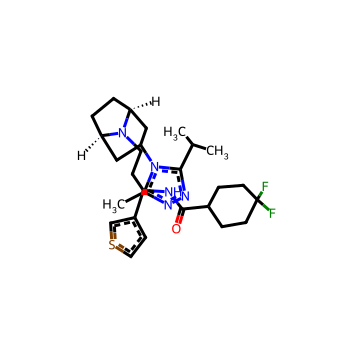 Cc1nnc(C(C)C)n1C1C[C@H]2CC[C@@H](C1)N2CCC(NC(=O)C1CCC(F)(F)CC1)c1ccsc1